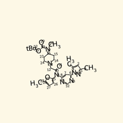 Cc1cc(C)n(-c2cc(N(C(=O)CN3CCC(N(C)C(=O)OC(C)(C)C)CC3)c3ccc(C)o3)ncn2)n1